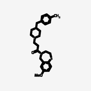 COc1ccc2c(c1)CN(C(=O)CCN1CCC(Cc3ccc(C)cc3)CC1)CCS2